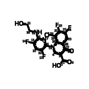 O=C(O)c1cn(-c2nc(NCCO)c(F)cc2F)c2c(Cl)c(F)c(F)cc2c1=O